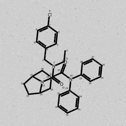 CCN(Cc1ccc(Cl)cc1)C(=O)N1C2CCC1CN(C(=O)N(c1ccccc1)c1ccccc1)C2